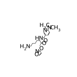 CN(C)c1ccc(C(=O)NC(CCCCN)C(=O)COc2ccon2)cn1